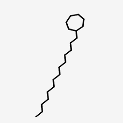 CCCCCCCCCCCCCCC1CCCCCC1